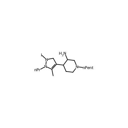 CCCCCN1CCC(C2=C(C)N(CCC)N(I)C2)C(N)C1